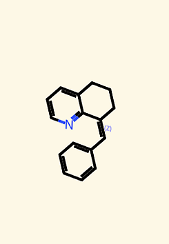 C(=C1\CCCc2cccnc21)/c1ccccc1